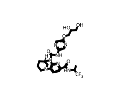 CC(NC(=O)c1ccc2c(n1)N(C(=O)Nc1cnc(OCC(O)CO)cn1)[C@H]1CCCN2C1)C(F)(F)F